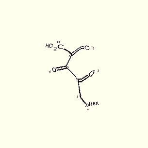 CCCCCCCC(=O)C(=O)C(=O)C(=O)O